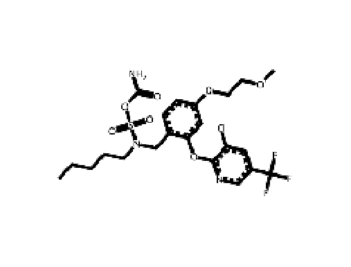 CCCCCN(Cc1ccc(OCCOC)cc1Oc1ncc(C(F)(F)F)cc1Cl)S(=O)(=O)OC(N)=O